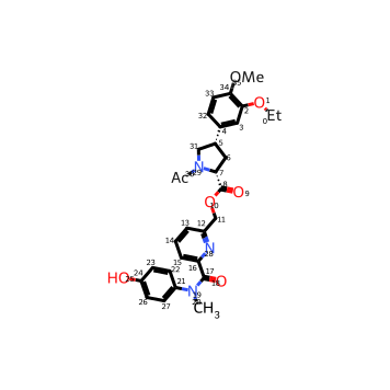 CCOc1cc([C@@H]2C[C@H](C(=O)OCc3cccc(C(=O)N(C)c4ccc(O)cc4)n3)N(C(C)=O)C2)ccc1OC